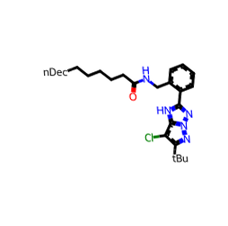 CCCCCCCCCCCCCCCC(=O)NCc1ccccc1-c1nn2nc(C(C)(C)C)c(Cl)c2[nH]1